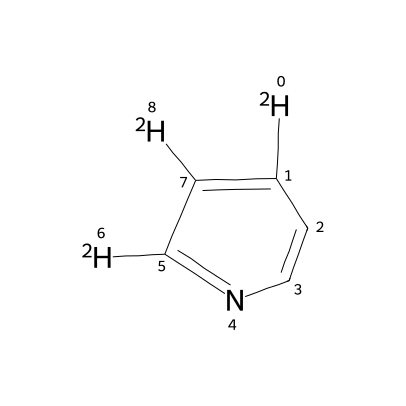 [2H]c1ccnc([2H])c1[2H]